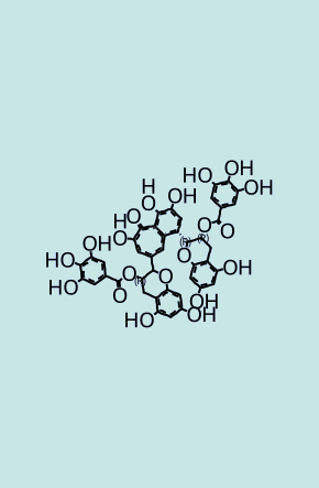 O=C(O[C@@H]1Cc2c(O)cc(O)cc2OC1c1cc(O)c(=O)c2c(O)c(O)cc([C@H]3Oc4cc(O)cc(O)c4C[C@H]3OC(=O)c3cc(O)c(O)c(O)c3)c2c1)c1cc(O)c(O)c(O)c1